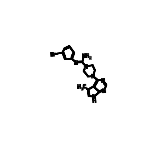 Cc1c[nH]c2ncnc(N3CCN(C(N)=Nc4cccc(Br)c4)CC3)c12